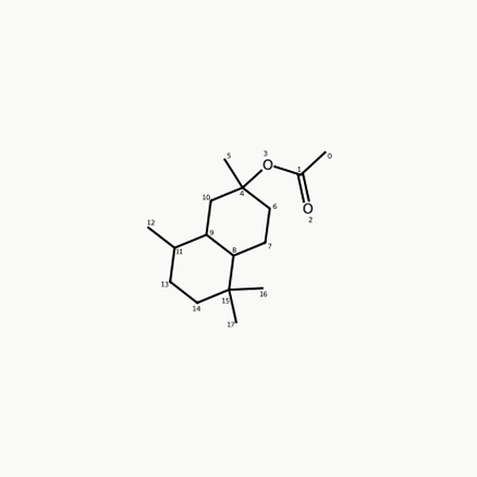 CC(=O)OC1(C)CCC2C(C1)C(C)CCC2(C)C